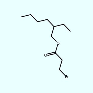 CCCCC(CC)COC(=O)CCBr